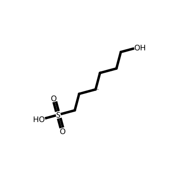 O=S(=O)(O)CC[CH]CCCO